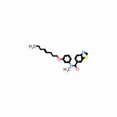 CCCC=CCCCOc1cccc(N(C)C(=O)c2ccc3ncsc3c2)c1